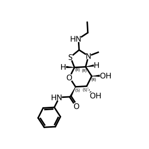 CCNC1S[C@H]2O[C@H](C(=O)Nc3ccccc3)[C@@H](O)[C@H](O)[C@H]2N1C